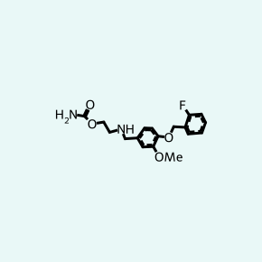 COc1cc(CNCCOC(N)=O)ccc1OCc1ccccc1F